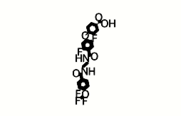 O=C(NCCNC(=O)c1cc(F)c(O[C@H]2CC[C@@H](C(=O)O)CC2)cc1F)c1ccc(OC(F)(F)F)cc1